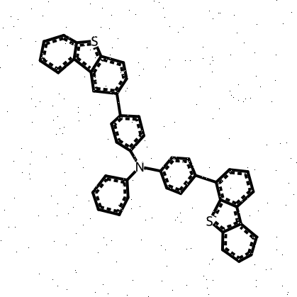 c1ccc(N(c2ccc(-c3ccc4sc5ccccc5c4c3)cc2)c2ccc(-c3cccc4c3sc3ccccc34)cc2)cc1